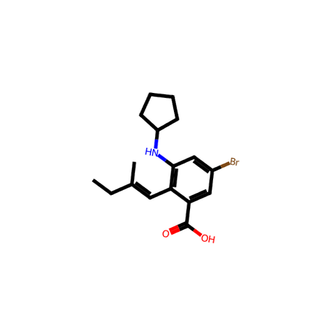 CC/C(C)=C/c1c(NC2CCCC2)cc(Br)cc1C(=O)O